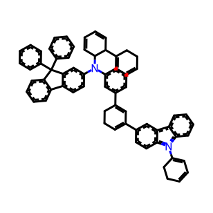 C1=CCCC(C2C=CC=CC2N(c2cccc(C3=CC(c4ccc5c(c4)c4ccccc4n5C4=CC=CCC4)=CCC3)c2)c2ccc3c(c2)C(c2ccccc2)(c2ccccc2)c2ccccc2-3)=C1